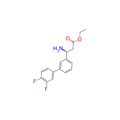 CCOC(=O)C[C@H](N)c1cccc(-c2ccc(F)c(F)c2)c1